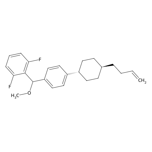 C=CCC[C@H]1CC[C@H](c2ccc(C(OC)c3c(F)cccc3F)cc2)CC1